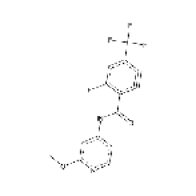 COc1cc(NC(=O)c2c#cc(C(F)(F)F)cc2F)ccn1